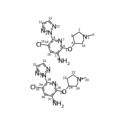 CN1CCC(Oc2nc(-n3nccn3)c(Cl)cc2N)C1.CN1CCC(Oc2nc(-n3nccn3)c(Cl)cc2N)C1